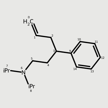 C=CCC(CCN(C(C)C)C(C)C)c1ccccc1